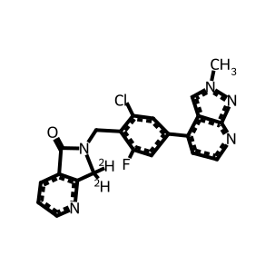 [2H]C1([2H])c2ncccc2C(=O)N1Cc1c(F)cc(-c2ccnc3nn(C)cc23)cc1Cl